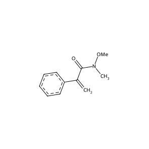 C=C(C(=O)N(C)OC)c1ccccc1